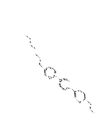 CCCCCCCc1ccc(-c2ccc(C3=CCC(CCC)CC3)cc2)cc1